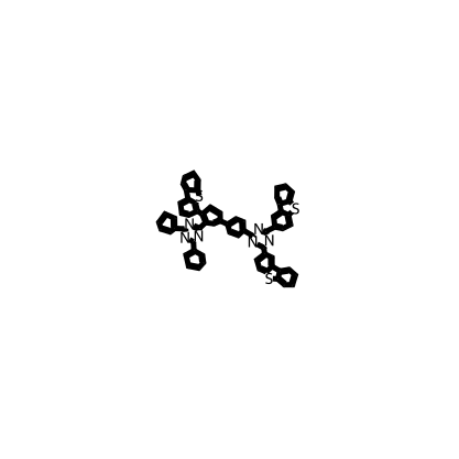 c1ccc(-c2nc(-c3ccccc3)nc(-c3cc(-c4ccc(-c5nc(-c6ccc7sc8ccccc8c7c6)nc(-c6ccc7sc8ccccc8c7c6)n5)cc4)ccc3-c3cccc4c3sc3ccccc34)n2)cc1